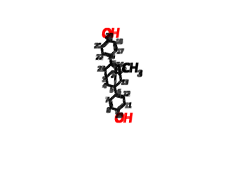 CC12CC3CC(c4ccc(O)cc4)(C1)CC(c1ccc(O)cc1)(C3)C2